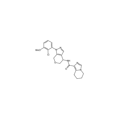 COc1cccc(-n2ncc3c2COCC3NC(=O)c2ncn3c2CCCC3)c1Cl